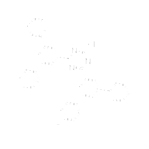 Fc1ccc(-c2cc(-c3ccccc3)cc(-c3nc(Cl)nc(-c4cc(-c5ccccc5)cc(-c5ccccc5)c4)n3)c2)cc1